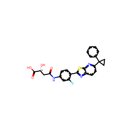 O=C(C[C@@H](O)C(=O)O)Nc1ccc(-c2nc3ccc(C4(c5ccccc5)CC4)nc3s2)c(F)c1